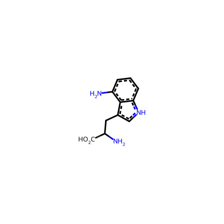 Nc1cccc2[nH]cc(CC(N)C(=O)O)c12